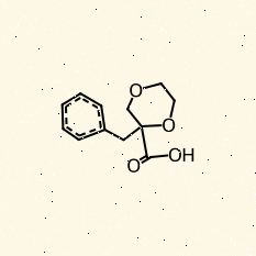 O=C(O)C1(Cc2ccccc2)COCCO1